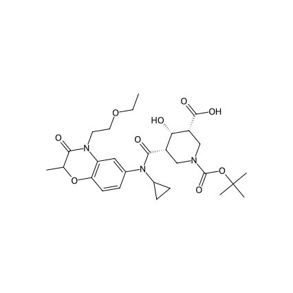 CCOCCN1C(=O)C(C)Oc2ccc(N(C(=O)[C@H]3CN(C(=O)OC(C)(C)C)C[C@@H](C(=O)O)[C@H]3O)C3CC3)cc21